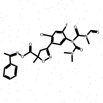 C/C(=N/OC(=O)C1(C)CC(c2cc(N(C(=O)N(C)C)C(=O)N(C)C=S)c(F)cc2Cl)=NO1)c1ccccc1